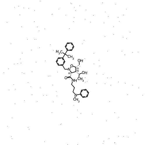 CC(O)[C@H]1[C@@H](CO)ON(Cc2cccc(C(C)(C)c3ccccc3)c2)[C@H]1C(=O)NCCCN(C)c1ccccc1